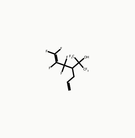 C=CCC(C(F)(F)C(F)=C(F)F)C(O)(C(F)(F)F)C(F)(F)F